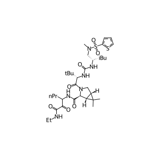 CCCC(NC(=O)[C@@H]1[C@@H]2[C@H](CN1C(=O)[C@@H](NC(=O)N[C@H](CN(C)S(=O)(=O)c1cccs1)[C@@H](C)CC)C(C)(C)C)C2(C)C)C(=O)C(=O)NCC